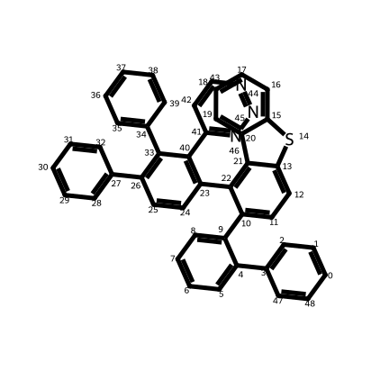 c1ccc(-c2ccccc2-c2ccc3sc4ccccc4c3c2-c2ccc(-c3ccccc3)c(-c3ccccc3)c2-c2ccnnn2)cc1